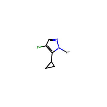 CC(C)n1n[c]c(F)c1C1CC1